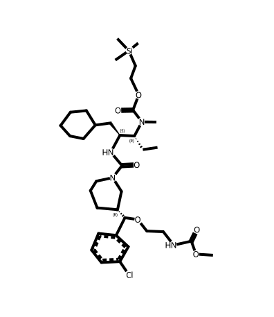 CC[C@H]([C@H](CC1CCCCC1)NC(=O)N1CCC[C@@H](C(OCCNC(=O)OC)c2cccc(Cl)c2)C1)N(C)C(=O)OCC[Si](C)(C)C